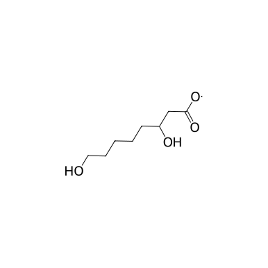 [O]C(=O)CC(O)CCCCCO